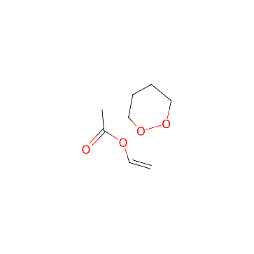 C1CCOOC1.C=COC(C)=O